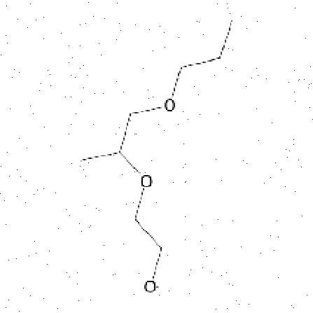 CCCOCC(C)OCC[O]